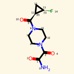 NC(=O)C(=O)N1CCN(C(=O)[C@H]2C[C@@H]2F)CC1